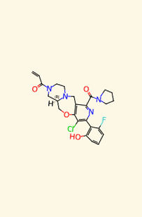 C=CC(=O)N1CCN2Cc3c(C(=O)N4CCCC4)nc(-c4c(O)cccc4F)c(Cl)c3OC[C@H]2C1